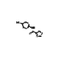 N#Cc1ccc(NC(=O)n2cccn2)cc1